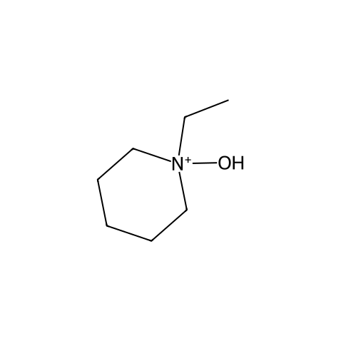 CC[N+]1(O)CCCCC1